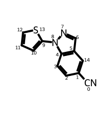 N#Cc1ccc2c(cnn2-c2cccs2)c1